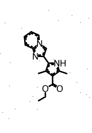 CCOC(=O)c1c(C)[nH]c(-c2cn3ccccc3n2)c1C